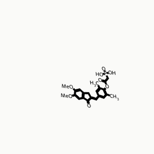 COc1cc2c(cc1OC)C(=O)C(=Cc1cc(C)c(OC(=O)CP(=O)(O)O)c(C)c1)C2